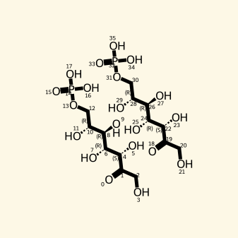 O=C(CO)[C@@H](O)[C@H](O)[C@H](O)[C@H](O)COP(=O)(O)O.O=C(CO)[C@@H](O)[C@H](O)[C@H](O)[C@H](O)COP(=O)(O)O